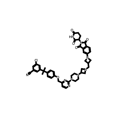 CC(C)(c1ccc(OCc2ccnc(N3CCN(C4CN(CC5CN(c6ccc7c(c6)C(=O)N(C6CCC(=O)NC6=O)C7=O)C5)C4)CC3)n2)cc1)c1cc(Cl)cc(C#N)c1